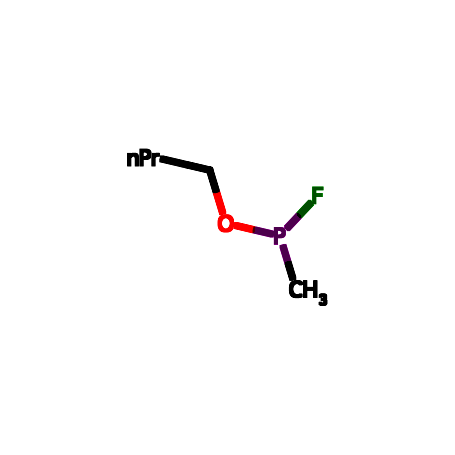 CCCCOP(C)F